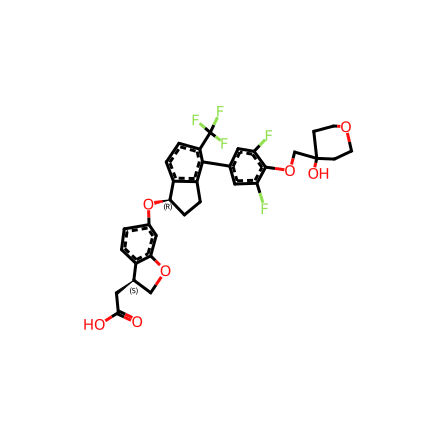 O=C(O)C[C@@H]1COc2cc(O[C@@H]3CCc4c3ccc(C(F)(F)F)c4-c3cc(F)c(OCC4(O)CCOCC4)c(F)c3)ccc21